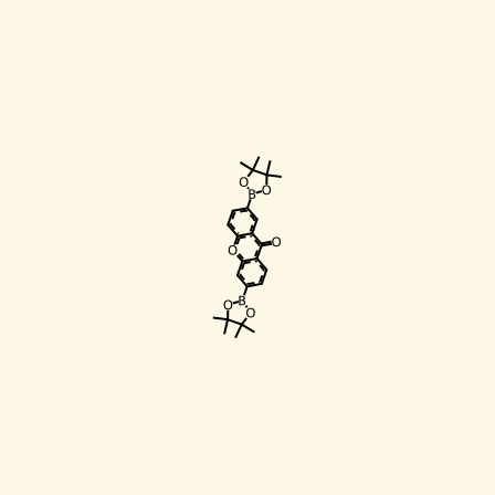 CC1(C)OB(c2ccc3c(=O)c4cc(B5OC(C)(C)C(C)(C)O5)ccc4oc3c2)OC1(C)C